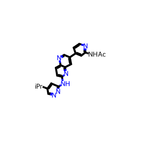 CC(=O)Nc1cc(-c2cnc3ccc(Nc4cc(C(C)C)cnn4)nc3c2)ccn1